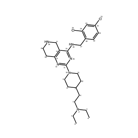 CCN(CC)CCC1CCN(c2nc3c(c(NCc4ccc(Cl)cc4Cl)n2)CNCC3)CC1